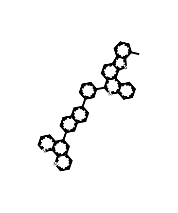 Cc1cccc2c1sc1c2ccc2c(-c3cccc(-c4ccc5cc(-c6cc7cccnc7c7ncccc67)ccc5c4)c3)nc3ccccc3c21